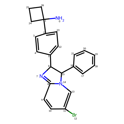 NC1(c2ccc(C3N=C4C=CC(Br)=CN4C3c3ccccc3)cc2)CCC1